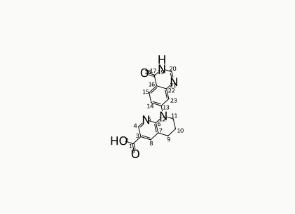 O=C(O)c1cnc2c(c1)CCCN2c1ccc2c(=O)[nH]cnc2c1